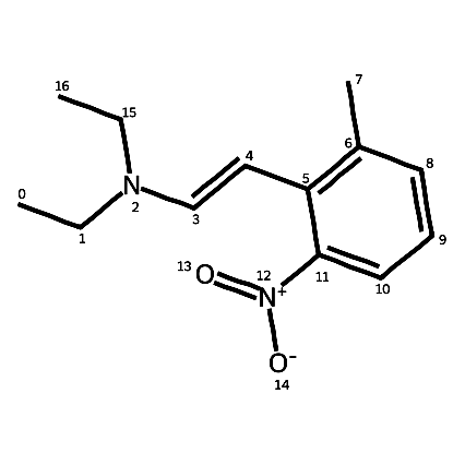 CCN(/C=C/c1c(C)cccc1[N+](=O)[O-])CC